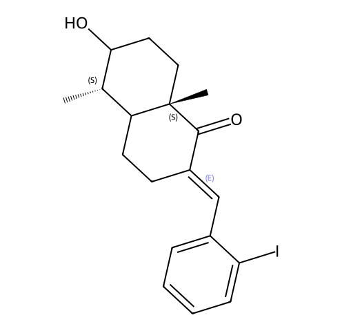 C[C@@H]1C(O)CC[C@]2(C)C(=O)/C(=C/c3ccccc3I)CCC12